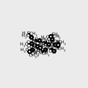 Cc1cc2c(cc1N1c3cc4c(cc3B3c5c1cc(C(C)(C)CCc1ccc6oc7c(c6c1)B1c6cc8c(cc6N(c6cc9c(cc6C)C(C)(C)CCC9(C)C)c6cc(C(C)(C)C)cc(c61)N7c1ccc(C(C)(C)C)cc1)C(C)(C)CCC8(C)C)cc5N(c1ccc(C(C)(C)C)cc1)c1oc5ccccc5c13)C(C)(C)CCC4(C)C)C(C)(C)CCC2(C)C